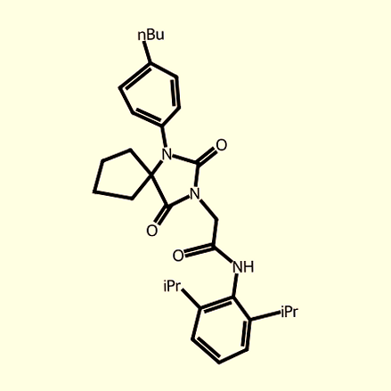 CCCCc1ccc(N2C(=O)N(CC(=O)Nc3c(C(C)C)cccc3C(C)C)C(=O)C23CCCC3)cc1